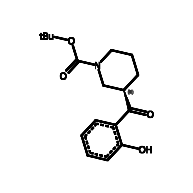 CC(C)(C)OC(=O)N1CCC[C@@H](C(=O)c2ccccc2O)C1